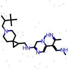 CN/C=C(\C(C)=N)C1=CN=C(NCC2CC23CCN(CC(C)C(C)(C)C)CC3)CN1C